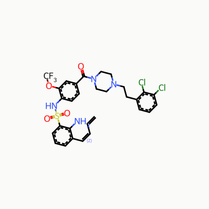 C=C/C=C\c1cccc(S(=O)(=O)Nc2ccc(C(=O)N3CCN(CCc4cccc(Cl)c4Cl)CC3)cc2OC(F)(F)F)c1N